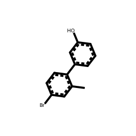 Cc1cc(Br)ccc1-c1cccc(O)c1